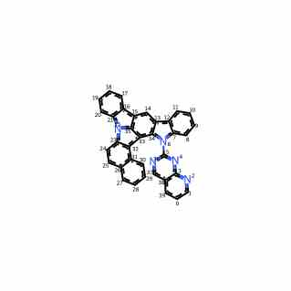 c1cnc2nc(-n3c4ccccc4c4cc5c6ccccc6n6c7ccc8ccccc8c7c(c43)c56)ncc2c1